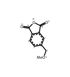 COCc1ccc2c(c1)C(=O)OC2=O